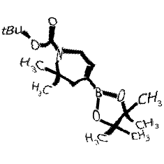 CC(C)(C)OC(=O)N1CC=C(B2OC(C)(C)C(C)(C)O2)CC1(C)C